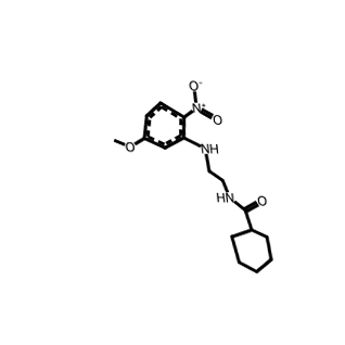 COc1ccc([N+](=O)[O-])c(NCCNC(=O)C2CCCCC2)c1